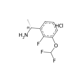 C[C@@H](N)c1cccc(OC(F)F)c1F.Cl